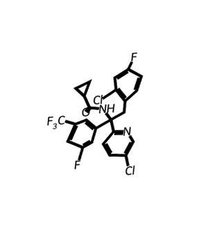 O=C(NC(Cc1ccc(F)cc1Cl)(c1cc(F)cc(C(F)(F)F)c1)c1ccc(Cl)cn1)C1CC1